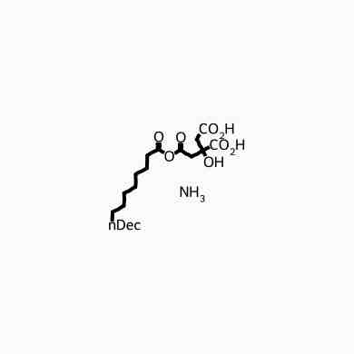 CCCCCCCCCCCCCCCCCC(=O)OC(=O)CC(O)(CC(=O)O)C(=O)O.N